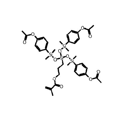 C=C(C)C(=O)OCCC[Si](O[Si](C)(C)c1ccc(OC(C)=O)cc1)(O[Si](C)(C)c1ccc(OC(C)=O)cc1)O[Si](C)(C)c1ccc(OC(C)=O)cc1